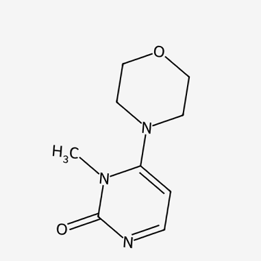 Cn1c(N2CCOCC2)ccnc1=O